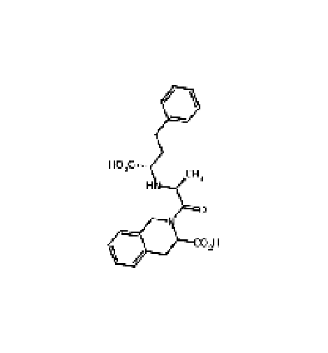 C[C@H](N[C@@H](CCc1ccccc1)C(=O)O)C(=O)N1Cc2ccccc2CC1C(=O)O